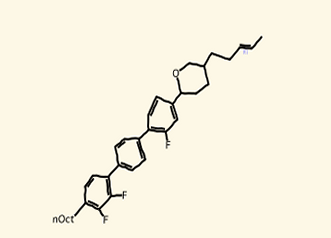 C/C=C/CCC1CCC(c2ccc(-c3ccc(-c4ccc(CCCCCCCC)c(F)c4F)cc3)c(F)c2)OC1